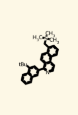 CC(C)(C)c1cc(-c2nccc3c2ccc2c(CS(C)(C)C)cccc23)cc2ccccc12